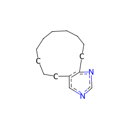 c1ncc2c(n1)CCCCCCCCCC2